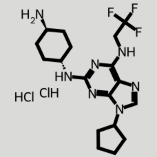 Cl.Cl.N[C@H]1CC[C@H](Nc2nc(NCC(F)(F)F)c3ncn(C4CCCC4)c3n2)CC1